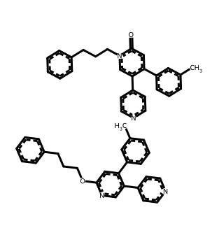 Cc1cccc(-c2cc(=O)n(CCCc3ccccc3)cc2-c2ccncc2)c1.Cc1cccc(-c2cc(OCCCc3ccccc3)ncc2-c2ccncc2)c1